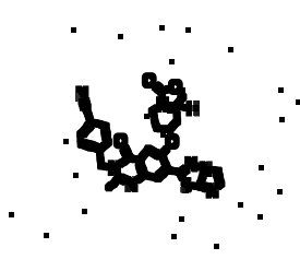 Cc1nc2cc(-c3nn4ccnc4s3)c(O[C@H]3CCN4C(=O)OC[C@@H]4C3)cc2c(=O)n1Cc1ccc(C#N)cc1